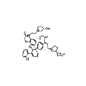 O=C(O)C1CCN(CCN2C(=O)COc3cc(C4(c5ccc6c(c5)OCC(=O)N6CCN5CC[C@H](O)C5)C=CC=C(c5ccccc5Cl)C4Cl)ccc32)C1